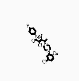 COc1ccc(Cl)cc1N1CCN(C(C)c2c(Cl)c(=O)n(-c3ccc(F)cc3)n2C)CC1